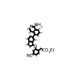 CCOC(=O)Cc1ccc(C#N)cc1OC1CCc2ccc(-c3cccc4c(N)nccc34)cc21